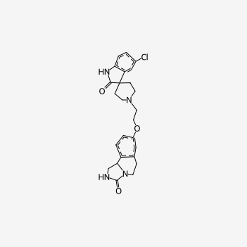 O=C1NCC2c3ccc(OCCN4CCC5(CC4)C(=O)Nc4ccc(Cl)cc45)cc3CCN12